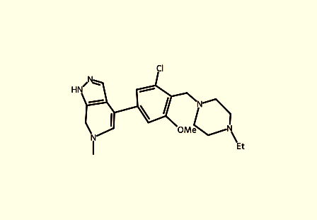 CCN1CCN(Cc2c(Cl)cc(C3=CN(C)Cc4[nH]ncc43)cc2OC)CC1